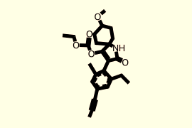 CC#Cc1cc(C)c(C2=C(OC(=O)OCC)C3(CCC(OC)CC3)NC2=O)c(CC)c1